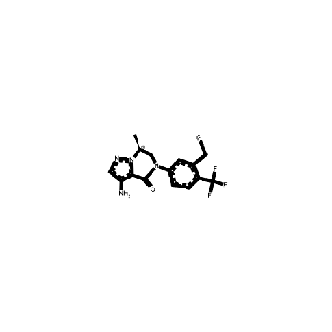 C[C@H]1CN(c2ccc(C(F)(F)F)c(CF)c2)C(=O)c2c(N)cnn21